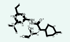 CCc1nc(NNC(=O)[C@@H](CN(O)C=O)C2CCC(C)CC2)nc(N(C)C)n1